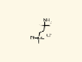 CC[N+](C)(C)CCC(C)(C)N.[Cl-]